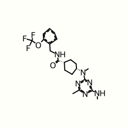 CNc1nc(C)nc(N(C)[C@H]2CC[C@@H](C(=O)NCc3ccccc3OC(F)(F)F)CC2)n1